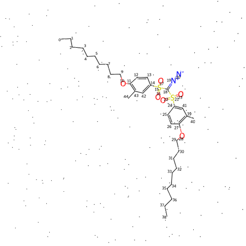 CCCCCCCCCCOc1ccc(S(=O)(=O)C(=[N+]=[N-])S(=O)(=O)c2ccc(OCCCCCCCCCC)c(C)c2)cc1C